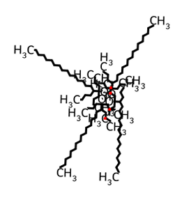 CCCCCCCCCCCCCCCCC(CCCC)C(CCCC)(CCCC)[O][Ti]([O]C(CCCC)(CCCC)C(CCCC)CCCCCCCCCCCCCCCC)([O]C(CCCC)(CCCC)C(CCCC)CCCCCCCCCCCCCCCC)[O]C(CCCC)(CCCC)C(CCCC)CCCCCCCCCCCCCCCC